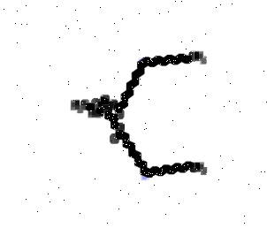 CCCCCCCC/C=C\CCCCCCCC(=O)OCC(COP(=O)(O)OCC)OC(=O)CCCCCCC/C=C\CCCCCCCC